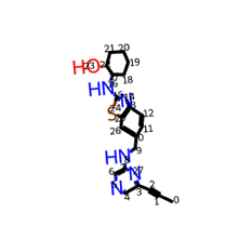 CC#Cc1cncc(NCc2ccc3nc(NC4CCCC[C@H]4O)sc3c2)n1